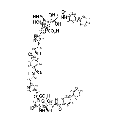 CC(=O)N[C@H]1[C@H]([C@H](O)[C@H](O)CNC(=O)c2ccc(-c3ccccc3)cc2)O[C@@](OCc2cn(CCNC(=O)c3ccc(C(=O)NCCn4cc(CO[C@]5(C(=O)O)C[C@H](O)[C@@H](NC(C)=O)[C@H]([C@H](O)[C@H](O)CNC(=O)c6ccc(-c7ccccc7)cc6)O5)nn4)cc3)nn2)(C(=O)O)C[C@@H]1O